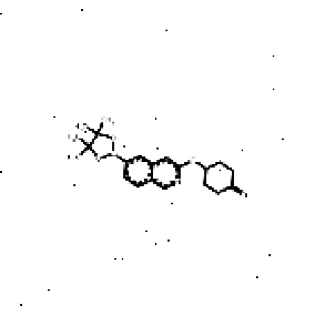 CC1(C)OB(c2ccc3cnc(OC4CCC(=O)CC4)cc3c2)OC1(C)C